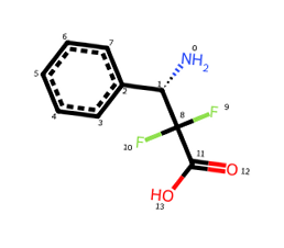 N[C@@H](c1ccccc1)C(F)(F)C(=O)O